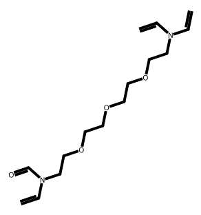 C=CN(C=C)CCOCCOCCOCCN(C=C)C=O